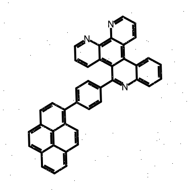 c1cc2ccc3ccc(-c4ccc(-c5nc6ccccc6c6c7cccnc7c7ncccc7c56)cc4)c4ccc(c1)c2c34